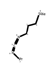 CSCCCN=C=NC(C)C